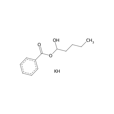 CCCCC(O)OC(=O)c1ccccc1.[KH]